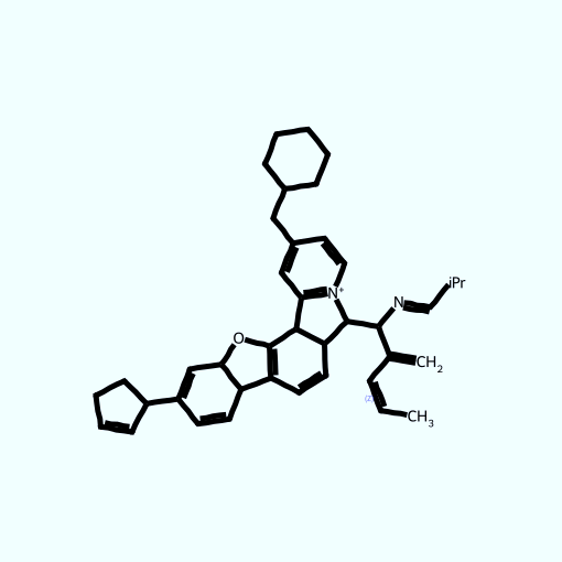 C=C(/C=C\C)C(N=CC(C)C)C1C2C=CC3=C(OC4C=C(C5C=CCC5)C=CC34)C2c2cc(CC3CCCCC3)cc[n+]21